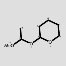 COC(C)OC1CCCCO1